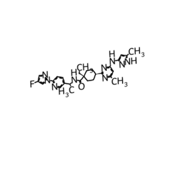 CC[C@]1(C(=O)N[C@@H](C)c2ccc(-n3cc(F)cn3)nc2)CC[C@H](c2nc(C)cc(Nc3cc(C)[nH]n3)n2)CC1